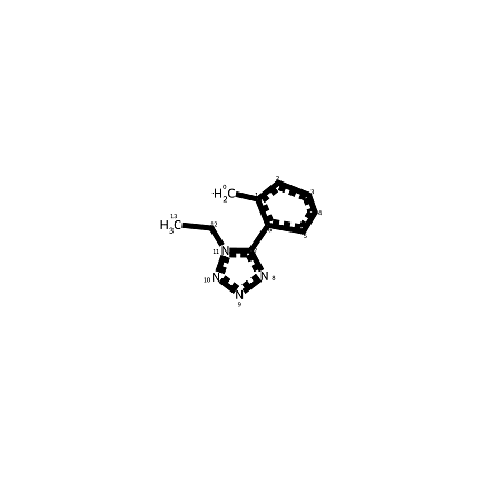 [CH2]c1ccccc1-c1nnnn1CC